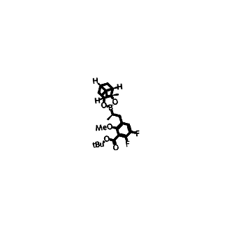 COc1c(C[C@@H](C)B2O[C@@H]3C[C@@H]4C[C@@H](C4(C)C)[C@]3(C)O2)cc(F)c(F)c1C(=O)OC(C)(C)C